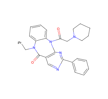 CC(C)CN1C(=O)c2cnc(-c3ccccc3)nc2N(C(=O)CN2CCCCC2)c2ccccc21